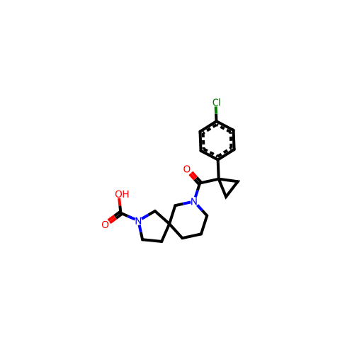 O=C(O)N1CCC2(CCCN(C(=O)C3(c4ccc(Cl)cc4)CC3)C2)C1